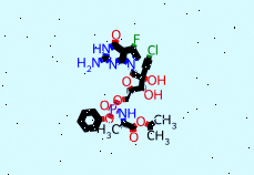 CC(C)OC(=O)[C@H](C)NP(=O)(OC[C@H]1O[C@@H](n2cc(F)c3c(=O)[nH]c(N)nc32)C(O)(C#CCl)[C@H]1O)Oc1ccccc1